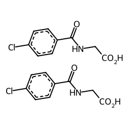 O=C(O)CNC(=O)c1ccc(Cl)cc1.O=C(O)CNC(=O)c1ccc(Cl)cc1